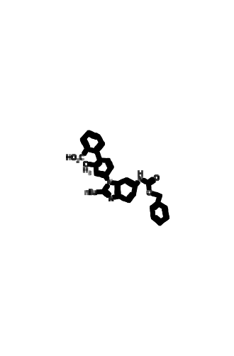 CCCCc1nc2ccc(NC(=O)OCc3ccccc3)cc2n1-c1ccc(-c2ccccc2C(=O)O)c(C)c1